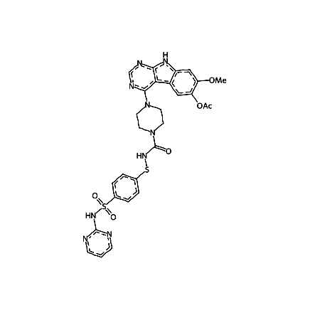 COc1cc2[nH]c3ncnc(N4CCN(C(=O)NSc5ccc(S(=O)(=O)Nc6ncccn6)cc5)CC4)c3c2cc1OC(C)=O